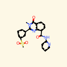 Cn1c(-c2cccc(S(C)(=O)=O)c2)nc2c(C(=O)Nc3ccccn3)cccc2c1=O